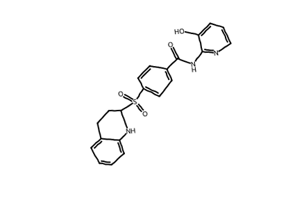 O=C(Nc1ncccc1O)c1ccc(S(=O)(=O)C2CCc3ccccc3N2)cc1